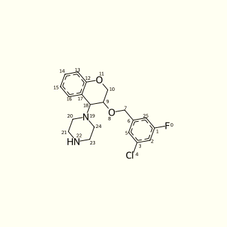 Fc1cc(Cl)cc(COC2COc3ccccc3C2N2CCNCC2)c1